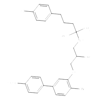 CC(C)(CCCc1ccc(Cl)cc1)NCC(O)COc1cc(-c2ccc(C(=O)O)cc2)ccc1C#N